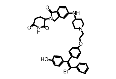 CC/C(=C(\c1ccc(O)cc1)c1ccc(OCCN2CCC(Nc3ccc4c(c3)CN(C3CCC(=O)NC3=O)C4=O)CC2)cc1)c1ccccc1